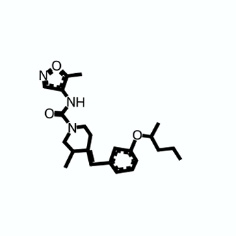 CCCC(C)Oc1cccc(C=C2CCN(C(=O)Nc3cnoc3C)CC2C)c1